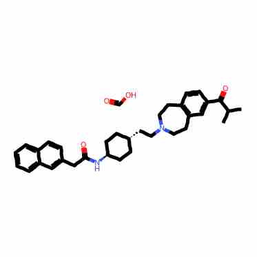 CC(C)C(=O)c1ccc2c(c1)CCN(CC[C@H]1CC[C@H](NC(=O)Cc3ccc4ccccc4c3)CC1)CC2.O=CO